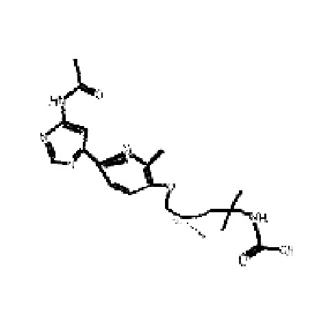 CC(=O)Nc1cc(-c2ccc(OC[C@@H](C)CC(C)(C)NC(=O)O)c(C)n2)ncn1